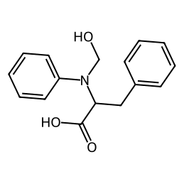 O=C(O)C(Cc1ccccc1)N(CO)c1ccccc1